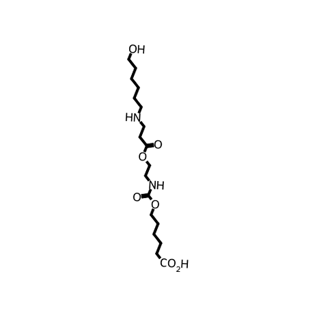 O=C(O)CCCCCOC(=O)NCCOC(=O)CCNCCCCCCO